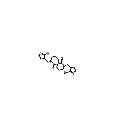 O=C1N(Cc2ccsc2Br)CCCC12CCCN(Cc1ccsc1Br)C2=O